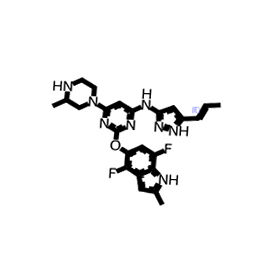 C/C=C/c1cc(Nc2cc(N3CCNC(C)C3)nc(Oc3cc(F)c4[nH]c(C)cc4c3F)n2)n[nH]1